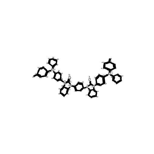 Cc1ccc(N(c2ccccc2)c2ccc(-n3c(=O)n(-c4ccc(-n5c(=O)n(-c6ccc(N(c7ccccc7)c7ccc(C)cc7)cc6)c6ccccc65)cc4)c4ccccc43)cc2)cc1